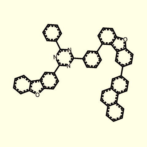 c1ccc(-c2nc(-c3cccc(-c4cccc5oc6ccc(-c7ccc8c(ccc9ccccc98)c7)cc6c45)c3)nc(-c3ccc4oc5ccccc5c4c3)n2)cc1